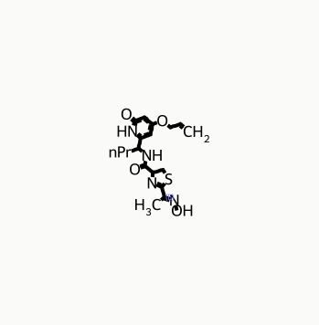 C=CCOc1cc(C(CCC)NC(=O)C2CSC(/C(C)=N/O)=N2)[nH]c(=O)c1